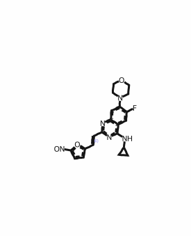 O=Nc1ccc(/C=C/c2nc(NC3CC3)c3cc(F)c(N4CCOCC4)cc3n2)o1